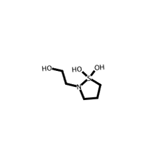 OCCN1CCCS1(O)O